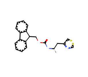 O=C(N[C@@H](Cc1cscn1)C(=O)O)OCC1c2ccccc2-c2ccccc21